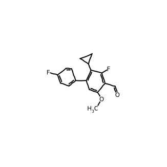 COc1cc(-c2ccc(F)cc2)c(C2CC2)c(F)c1C=O